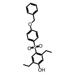 CCc1cc(S(=O)(=O)c2ccc(OCc3ccccc3)cc2)c(CC)cc1O